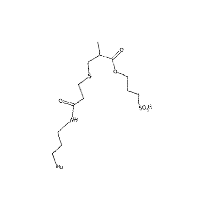 CCC(C)CCCNC(=O)CCSCC(C)C(=O)OCCCS(=O)(=O)O